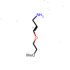 COCCO/C=C/CN